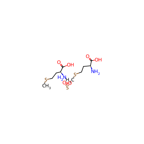 CSCC[C@H](N)C(=O)O.CSCC[C@H](N)C(=O)O.o1os1